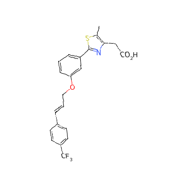 Cc1sc(-c2cccc(OCC=Cc3ccc(C(F)(F)F)cc3)c2)nc1CC(=O)O